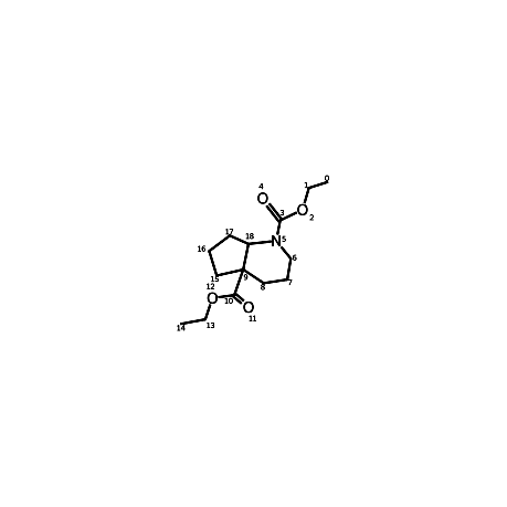 CCOC(=O)N1CCCC2(C(=O)OCC)CCCC12